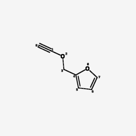 [C]#COCc1ccco1